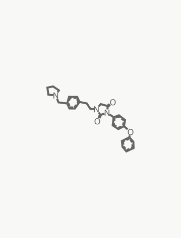 O=C1CN(CCc2ccc(CN3CCCC3)cc2)C(=O)N1c1ccc(Oc2ccccc2)cc1